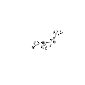 CC(C)C(N)(C#CC(=O)Nc1ccc2ncnc(Nc3cccc(Br)c3)c2c1)C(C)C